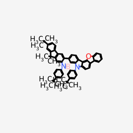 CC(C)(C)c1ccc(N2B3c4cc(C(C)(C)C)ccc4-n4c5ccc6c7ccccc7oc6c5c5ccc(c3c54)-c3cc4c(cc32)C(C)(C)c2cc(C(C)(C)C)ccc2-4)cc1